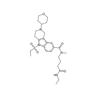 CCNC(=O)CCCN(C)C(=O)c1ccc2c(c1)c1c(n2S(=O)(=O)CC)CCN(C2CCOCC2)C1